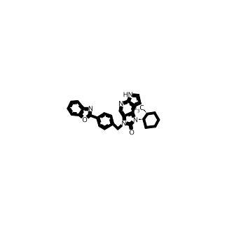 C[C@@H]1CCCC[C@@H]1n1c(=O)n(Cc2ccc(-c3nc4ccccc4o3)cc2)c2cnc3[nH]ccc3c21